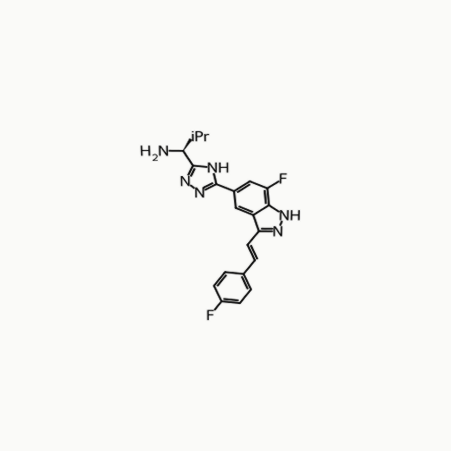 CC(C)[C@H](N)c1nnc(-c2cc(F)c3[nH]nc(/C=C/c4ccc(F)cc4)c3c2)[nH]1